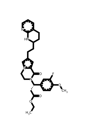 CCOC(=O)C[C@@H](c1ccc(OC)c(F)c1)N1CCn2cc(CCC3CCc4cccnc4N3)cc2C1=O